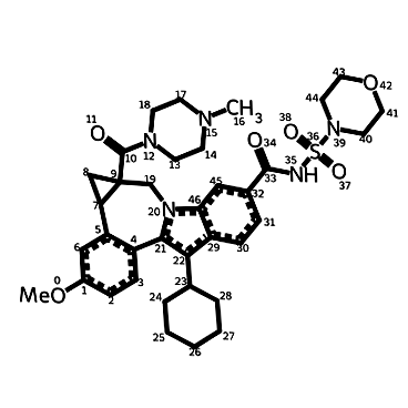 COc1ccc2c(c1)C1CC1(C(=O)N1CCN(C)CC1)Cn1c-2c(C2CCCCC2)c2ccc(C(=O)NS(=O)(=O)N3CCOCC3)cc21